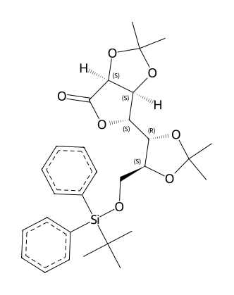 CC1(C)O[C@@H]([C@@H]2OC(=O)[C@H]3OC(C)(C)O[C@@H]23)[C@H](CO[Si](c2ccccc2)(c2ccccc2)C(C)(C)C)O1